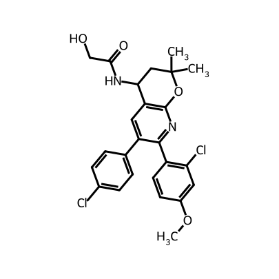 COc1ccc(-c2nc3c(cc2-c2ccc(Cl)cc2)C(NC(=O)CO)CC(C)(C)O3)c(Cl)c1